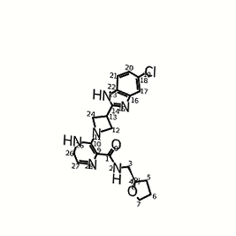 O=C(NC[C@H]1CCCO1)C1=C(N2CC(c3nc4cc(Cl)ccc4[nH]3)C2)NCC=N1